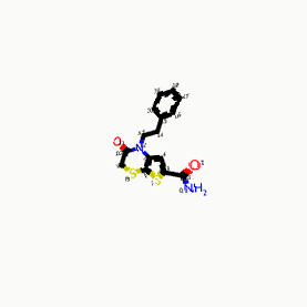 NC(=O)c1cc2c(s1)SCC(=O)N2CCc1ccccc1